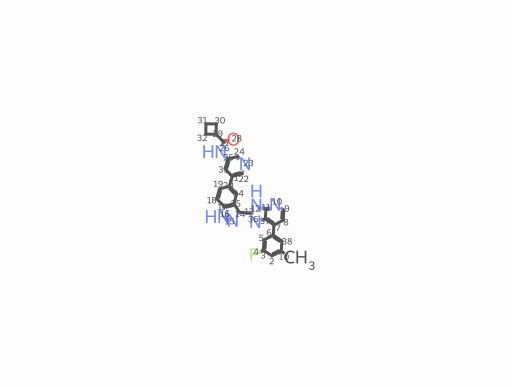 Cc1cc(F)cc(-c2ccnc3[nH]c(-c4n[nH]c5ccc(-c6cncc(NC(=O)C7CCC7)c6)cc45)nc23)c1